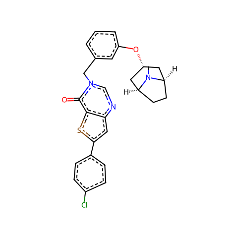 CN1[C@@H]2CC[C@H]1C[C@H](Oc1cccc(Cn3cnc4cc(-c5ccc(Cl)cc5)sc4c3=O)c1)C2